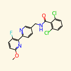 COc1ccc(F)c(-c2ccc(CNC(=O)c3c(Cl)cccc3Cl)cn2)n1